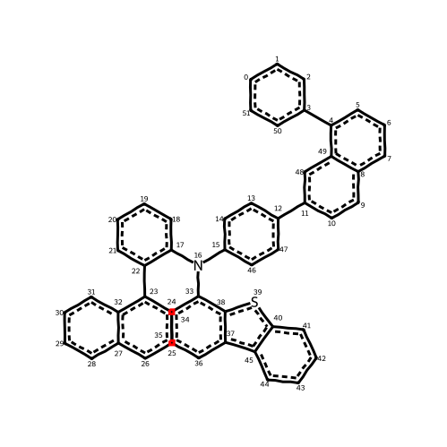 c1ccc(-c2cccc3ccc(-c4ccc(N(c5ccccc5-c5cccc6ccccc56)c5cccc6c5sc5ccccc56)cc4)cc23)cc1